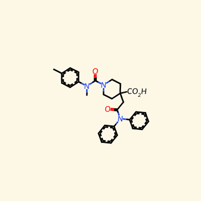 Cc1ccc(N(C)C(=O)N2CCC(CC(=O)N(c3ccccc3)c3ccccc3)(C(=O)O)CC2)cc1